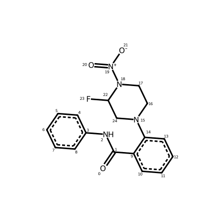 O=C(Nc1ccccc1)c1ccccc1N1CCN([N+](=O)[O-])C(F)C1